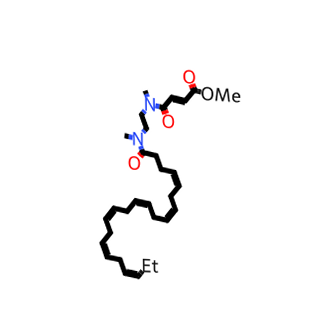 CC/C=C\C/C=C\C/C=C\C/C=C\C/C=C\C/C=C\CCC(=O)N(C)CCN(C)C(=O)C=CC(=O)OC